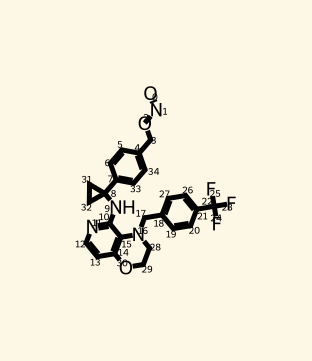 O=NOCc1ccc(C2(Nc3nccc4c3N(Cc3ccc(C(F)(F)F)cc3)CCO4)CC2)cc1